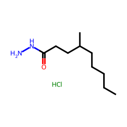 CCCCCC(C)CCC(=O)NN.Cl